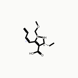 C=C/C=C\C1=C(C(=O)O)[C@@H](CC)NN1COC